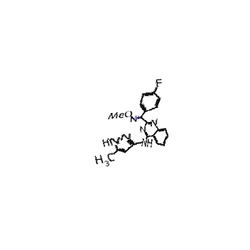 CO/N=C(\c1ccc(F)cc1)c1nc(Nc2cc(C)[nH]n2)c2ccccc2n1